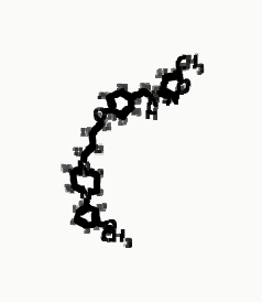 COc1cccc(N2CCN(CCCCOc3ccc(CNc4cc(C)on4)cc3)CC2)c1